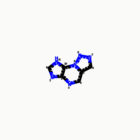 c1nc2ncc3cnnn3c2[nH]1